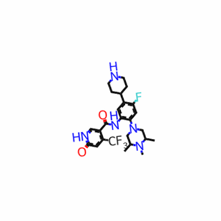 CC1CN(c2cc(F)c(C3CCNCC3)cc2NC(=O)c2c[nH]c(=O)cc2C(F)(F)F)CC(C)N1C